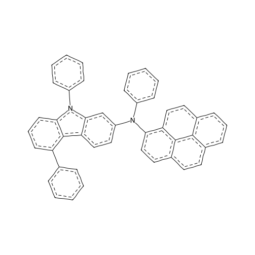 c1ccc(-c2cccc3c2c2ccc(N(c4ccccc4)c4ccc5ccc6cccc7ccc4c5c67)cc2n3-c2ccccc2)cc1